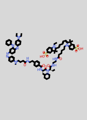 CC[C@H](NC(=O)[C@H](CC1CCCCC1)NC(=O)c1ccc(CCNC(=O)CCCN(C)c2ccc(/N=N\c3ccc4nc5ccc(N(CC)CC)cc5[n+](-c5ccccc5)c4c3)cc2)cc1)C(=O)NCCNC(=O)CCCCCN1\C(=C/C=C/C=C/C2=[N+](CC)c3ccc(S(=O)(=O)O)cc3C2(C)C)C(C)(C)c2cc(S(=O)(=O)O)ccc21